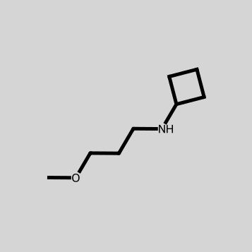 COCCCNC1CCC1